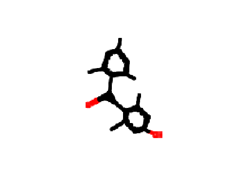 Cc1cc(C)c(-c2c(-c3c(C)cc(O)cc3C)c2=O)c(C)c1